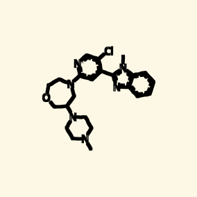 CN1CCN(C2COCCN(c3cc(-c4nc5ccccc5n4C)c(Cl)cn3)C2)CC1